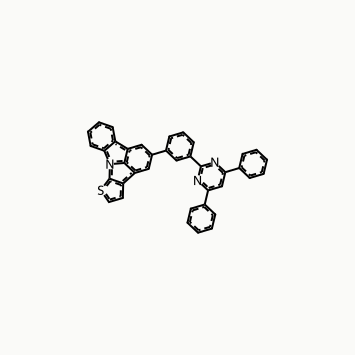 c1ccc(-c2cc(-c3ccccc3)nc(-c3cccc(-c4cc5c6ccccc6n6c7sccc7c(c4)c56)c3)n2)cc1